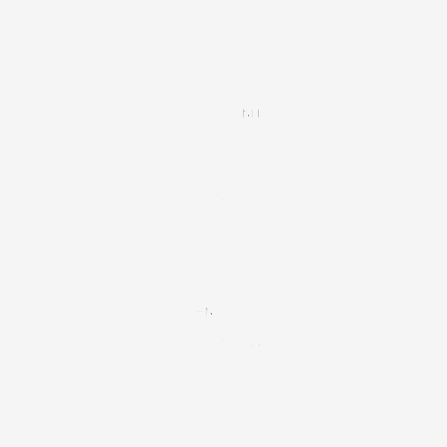 C=CC(=O)NCCSSCCNC(C)C=C